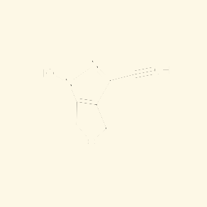 C#Cc1nn(O)c2c1COC2